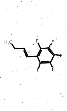 CC/C=C/c1c(F)c(F)c(F)c(F)c1F